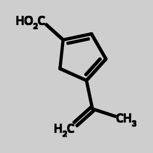 C=C(C)C1=CC=C(C(=O)O)C1